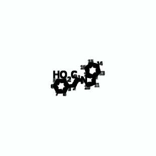 O=C(O)/C(=C\c1ccccc1)n1ccc2ccccc21